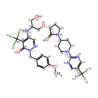 COc1ccc(Cn2ncc(NC(CO)CO[C@@H]3CCN(C4CCN(c5ncc(C(F)(F)F)cn5)CC4)C3=O)c(C(F)(F)F)c2=O)cc1